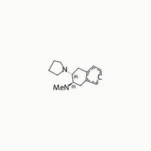 CN[C@@H]1Cc2ccccc2C[C@H]1N1CCCC1